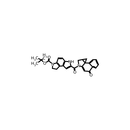 CC(C)(C)OC(=O)N1CCc2c1ccc1[nH]c(C(=O)N3CC4CC45C3=CC(=O)c3ccccc35)cc21